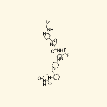 O=C1CCN(c2ccccc2CN2CCC(n3cc(NC(=O)c4coc(-c5ccnc(NCC6CC6)c5)n4)c(C(F)F)n3)CC2)C(=O)N1